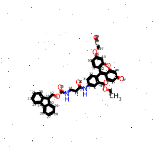 CCOC(=O)c1cc(NC(=O)CCNC(=O)OCC2c3ccccc3-c3ccccc32)ccc1-c1c2ccc(=O)cc-2oc2cc(OC=C=O)ccc12